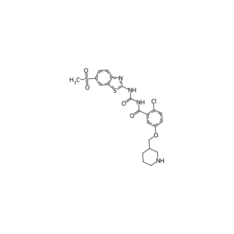 CS(=O)(=O)c1ccc2nc(NC(=O)NC(=O)c3cc(OCC4CCCNC4)ccc3Cl)sc2c1